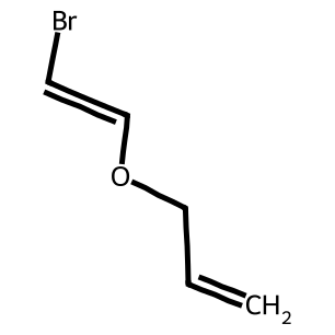 C=CCOC=CBr